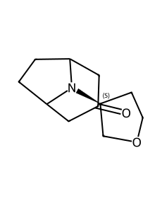 O=C1CC2CCC(C1)N2[C@H]1CCOC1